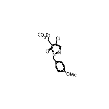 CCOC(=O)Cc1c(Cl)cnn(Cc2ccc(OC)cc2)c1=O